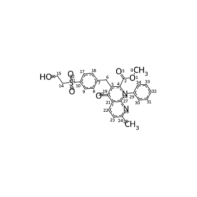 COC(=O)c1c(Cc2ccc(S(=O)(=O)CCO)cc2)c(=O)c2ccc(C)nc2n1-c1ccccc1